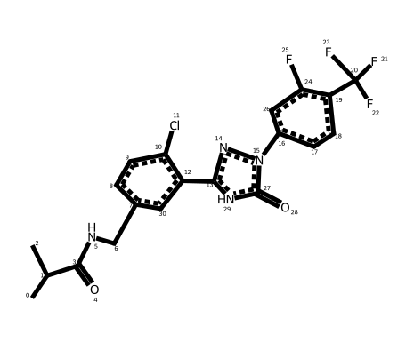 CC(C)C(=O)NCc1ccc(Cl)c(-c2nn(-c3ccc(C(F)(F)F)c(F)c3)c(=O)[nH]2)c1